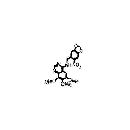 COc1cc2c(NCc3cc4c(cc3[N+](=O)[O-])OCO4)ncnc2c(OC)c1OC